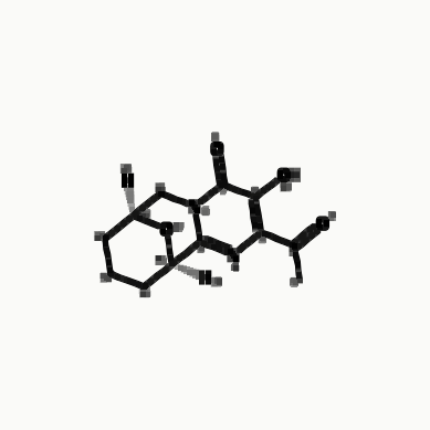 CC(=O)c1nc2n(c(=O)c1O)C[C@@H]1CCC[C@H]2O1